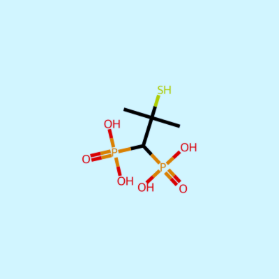 CC(C)(S)C(P(=O)(O)O)P(=O)(O)O